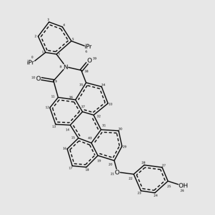 CC(C)c1cccc(C(C)C)c1N1C(=O)c2ccc3c4cccc5c(Oc6ccc(O)cc6)ccc(c6ccc(c2c36)C1=O)c54